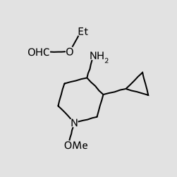 CCOC=O.CON1CCC(N)C(C2CC2)C1